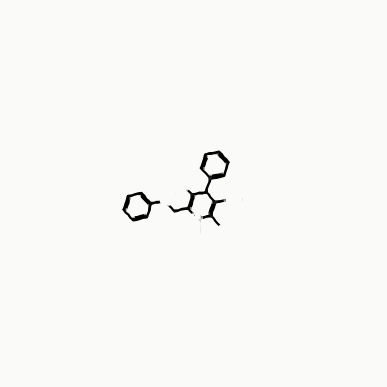 CCOC(=O)C1=C(C)NC(CSc2ccccc2)=C(C(=O)OCC)C1c1ccccc1